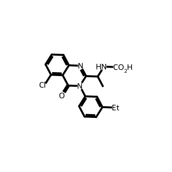 CCc1cccc(-n2c(C(C)NC(=O)O)nc3cccc(Cl)c3c2=O)c1